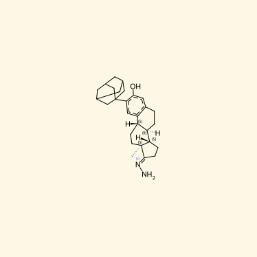 C[C@]12CC[C@@H]3c4cc(C56CC7CC(CC(C7)C5)C6)c(O)cc4CC[C@H]3[C@@H]1CC/C2=N\N